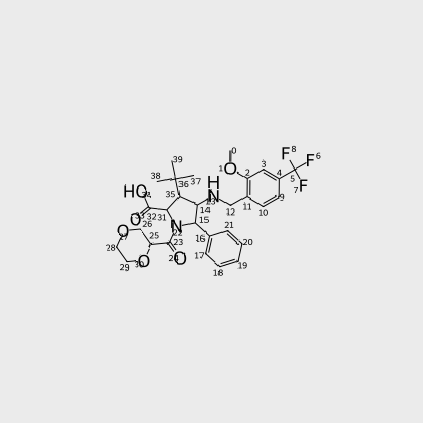 COc1cc(C(F)(F)F)ccc1CNC1C(c2ccccc2)N(C(=O)C2COCCO2)C(C(=O)O)C1C(C)(C)C